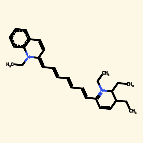 CCC1C=CC(/C=C/C=C/C=C/C=C2\C=Cc3ccccc3N2CC)=[N+](CC)C1CC